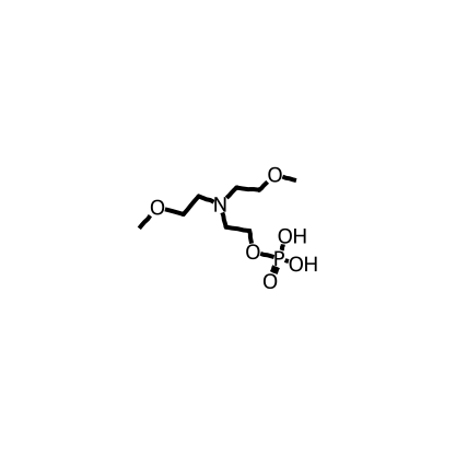 COCCN(CCOC)CCOP(=O)(O)O